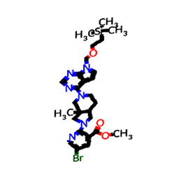 COC(=O)c1cc(Br)cnc1N1CC2CCN(c3ncnc4c3ccn4COCC[Si](C)(C)C)CC2(C)C1